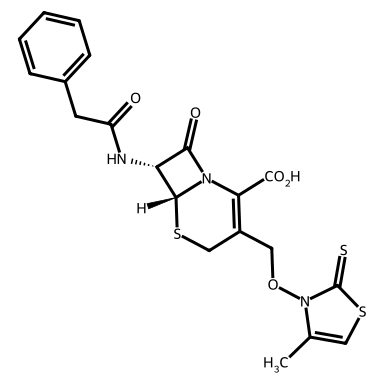 Cc1csc(=S)n1OCC1=C(C(=O)O)N2C(=O)[C@@H](NC(=O)Cc3ccccc3)[C@H]2SC1